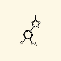 Cc1nc(-c2ccc(Cl)c([N+](=O)[O-])c2)no1